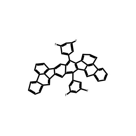 Fc1cc(F)cc(-c2c3cc4c(cc3c(-c3cc(F)cc(F)c3)c3c5cc6ccccc6c6cccc(c23)c65)c2cc3ccccc3c3cccc4c32)c1